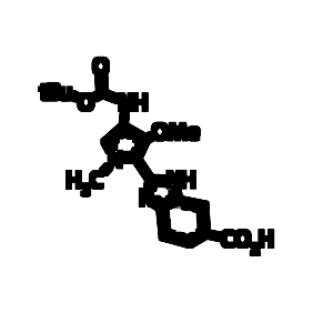 COc1c(NC(=O)OC(C)(C)C)cn(C)c1-c1nc2ccc(C(=O)O)cc2[nH]1